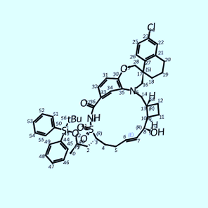 C[C@H](C[C@H]1CC/C=C/[C@H](O)[C@@H]2CC[C@H]2CN2C[C@@]3(CCCc4cc(Cl)ccc43)COc3ccc(cc32)C(=O)NS1(=O)=O)O[Si](c1ccccc1)(c1ccccc1)C(C)(C)C